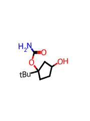 CC(C)(C)C1(OC(N)=O)CCC(O)C1